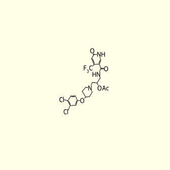 CC(=O)OC(CNC(=O)c1c[nH]c(=O)cc1C(F)(F)F)CN1CCC(Oc2ccc(Cl)c(Cl)c2)CC1